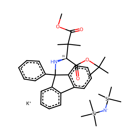 COC(=O)C(C)(C)[C@H](NC1(c2ccccc2)c2ccccc2-c2ccccc21)C(=O)OC(C)(C)C.C[Si](C)(C)[N-][Si](C)(C)C.[K+]